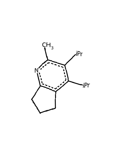 Cc1nc2c(c(C(C)C)c1C(C)C)CCC2